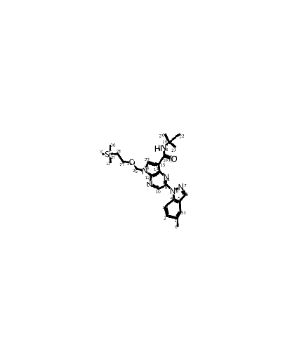 Cc1ccc2c(cnn2-c2cnc3c(n2)c(C(=O)NC(C)(C)C)cn3COCC[Si](C)(C)C)c1